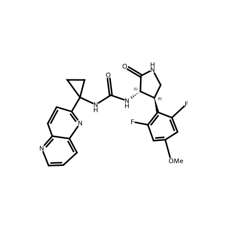 COc1cc(F)c([C@@H]2CNC(=O)[C@H]2NC(=O)NC2(c3ccc4ncccc4n3)CC2)c(F)c1